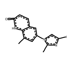 Cc1cc(-n2cc(I)nc2C)cc2ccc(=O)[nH]c12